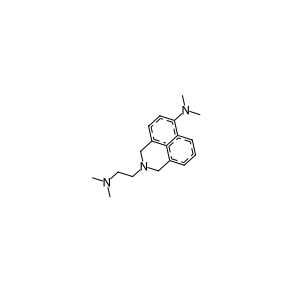 CN(C)CCN1Cc2cccc3c(N(C)C)ccc(c23)C1